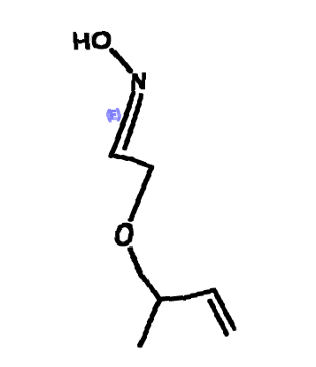 C=CC(C)OC/C=N/O